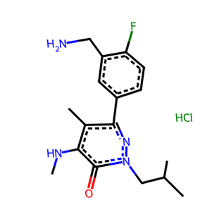 CNc1c(C)c(-c2ccc(F)c(CN)c2)nn(CC(C)C)c1=O.Cl